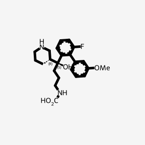 COc1cccc(-c2c(F)cccc2[C@](O)(CCCNC(=O)O)[C@@H]2CCCNC2)c1